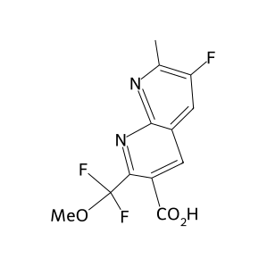 COC(F)(F)c1nc2nc(C)c(F)cc2cc1C(=O)O